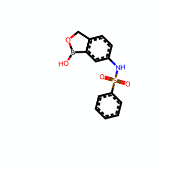 O=S(=O)(Nc1ccc2c(c1)B(O)OC2)c1ccccc1